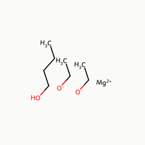 CCCCO.CC[O-].CC[O-].[Mg+2]